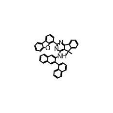 CC1(C)c2ccccc2-c2nc(-c3cccc4c3oc3ccccc34)nc(Nc3cc4ccccc4cc3-c3cccc4ccccc34)c21